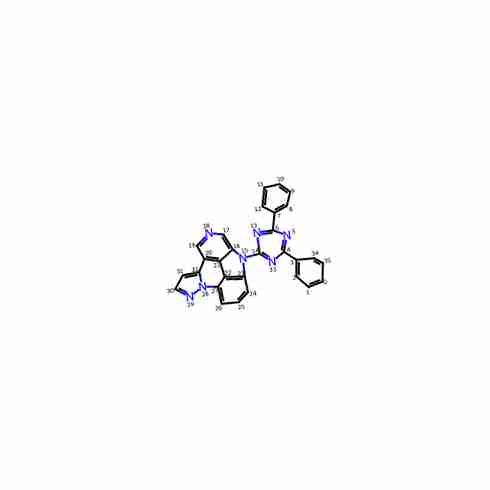 c1ccc(-c2nc(-c3ccccc3)nc(-n3c4cncc5c4c4c3cccc4n3nccc53)n2)cc1